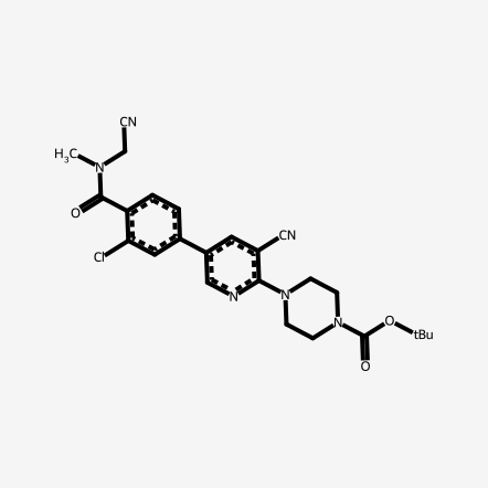 CN(CC#N)C(=O)c1ccc(-c2cnc(N3CCN(C(=O)OC(C)(C)C)CC3)c(C#N)c2)cc1Cl